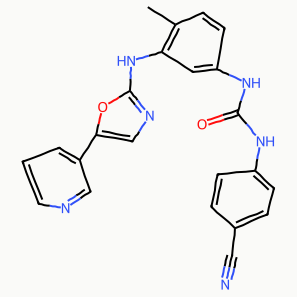 Cc1ccc(NC(=O)Nc2ccc(C#N)cc2)cc1Nc1ncc(-c2cccnc2)o1